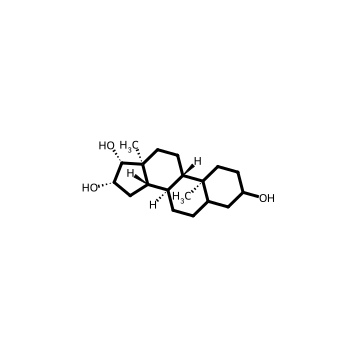 C[C@]12CC[C@H]3[C@@H](CCC4CC(O)CC[C@@]43C)[C@@H]1C[C@H](O)[C@@H]2O